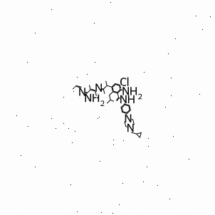 C=C(Nc1ccc(N2CCN(CC3CC3)CC2)cc1)c1c(N)c(Cl)cc(C(C)/C(C)=N/C(C)=C(C)/C(N)=N\C=C/C)c1CC(C)C